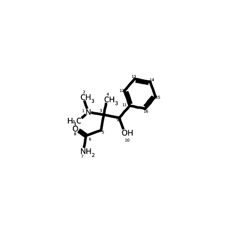 CN(C)C(C)(CC(N)=O)C(O)c1ccccc1